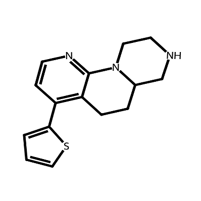 c1csc(-c2ccnc3c2CCC2CNCCN32)c1